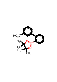 CC1(C)OB(c2ccccc2-c2cccc(C(=O)O)c2)OC1(C)C